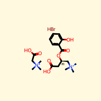 Br.C[N+](C)(C)CC(=O)O.C[N+](C)(C)C[C@@H](CC(=O)O)OC(=O)c1ccccc1O